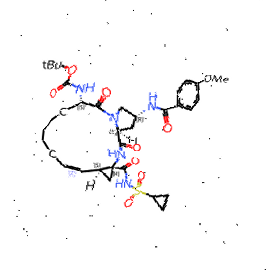 COc1ccc(C(=O)N[C@@H]2C[C@H]3C(=O)N[C@]4(C(=O)NS(=O)(=O)C5CC5)C[C@H]4/C=C\CCCCC[C@H](NC(=O)OC(C)(C)C)C(=O)N3C2)cc1